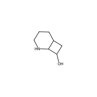 OC1CC2CCCNC12